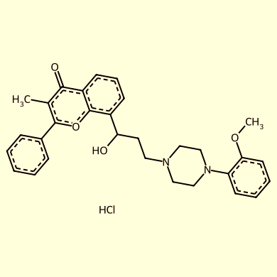 COc1ccccc1N1CCN(CCC(O)c2cccc3c(=O)c(C)c(-c4ccccc4)oc23)CC1.Cl